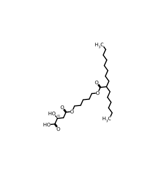 CCCCCCCCC(CCCCCC)C(=O)OCCCCCOC(=O)C[C@H](O)C(=O)O